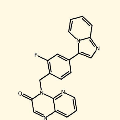 O=c1cnc2cccnc2n1Cc1ccc(-c2cnc3ccccn23)cc1F